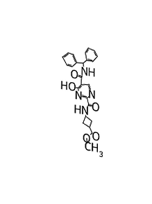 COC(=O)C1CC(NC(=O)c2ncc(C(=O)NC(c3ccccc3)c3ccccc3)c(O)n2)C1